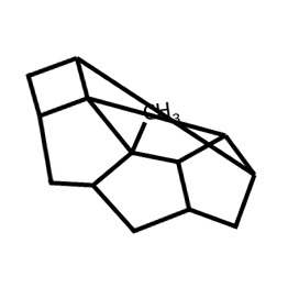 CC12C3CC4CC5C6CC(C3)C61C5C42